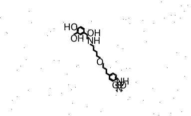 CN(C)S(=O)(=O)Nc1ccc(CCCCOCCCCCCNCC(O)c2ccc(O)c(CO)c2)cc1